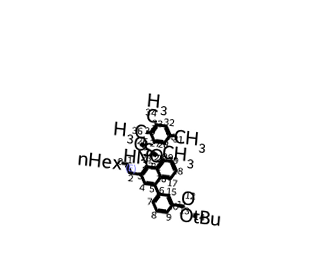 CCCCCC/C=C/c1cc(-c2cccc(C(=O)OC(C)(C)C)c2)c2ccccc2c1NS(=O)(=O)c1c(C)c(C)cc(C)c1C